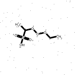 CCOOOC(C)S(=O)(=O)O